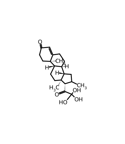 CC1C[C@H]2[C@@H]3CCC4=CC(=O)CC[C@]4(C)[C@H]3CC[C@]2(C)[C@H]1C(=O)C(O)(O)O